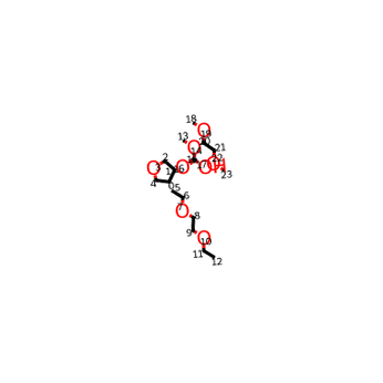 C1CCOC1.CCOCCOCC.COC(=O)O.COCCOC